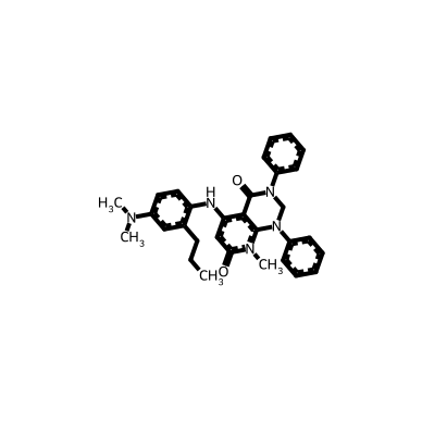 CCCc1cc(N(C)C)ccc1Nc1cc(=O)n(C)c2c1C(=O)N(c1ccccc1)CN2c1ccccc1